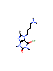 CCc1nc2c(c(=O)n(C)c(=O)n2C)n1CCCCN(C)C.Cl